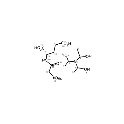 CC(O)N(C(C)O)C(C)O.CCCCCCCCCCCC(=O)N[C@@H](CCC(=O)O)C(=O)O